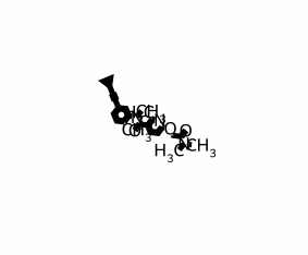 Cc1ccc(C#CC2CC2)cc1N(C)C(=O)c1ccc(OCC(=O)N(C)C)nc1C